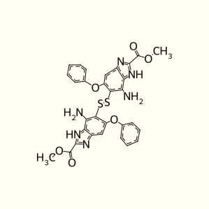 COC(=O)c1nc2cc(Oc3ccccc3)c(SSc3c(Oc4ccccc4)cc4nc(C(=O)OC)[nH]c4c3N)c(N)c2[nH]1